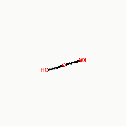 OCCCCCCCCCCCOCCCCCCCCCCCOO